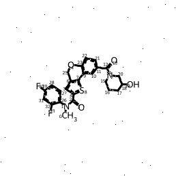 CN(C(=O)c1cc2c(s1)-c1cc(C(=O)N3CCCC(O)C3)ccc1OC2)c1ccc(F)cc1F